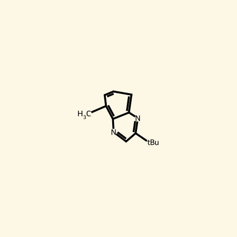 Cc1cccc2nc(C(C)(C)C)cnc12